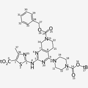 CCOC(=O)c1sc(Nc2nc3c(c(N4CCN(C(=O)OC(C)(C)C)CC4)n2)CCN(C(=O)OCc2ccccc2)C3)nc1C